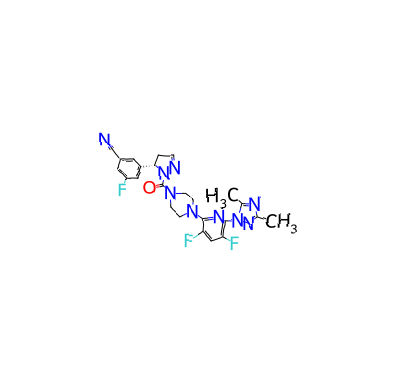 Cc1nc(C)n(-c2nc(N3CCN(C(=O)N4N=CC[C@H]4c4cc(F)cc(C#N)c4)CC3)c(F)cc2F)n1